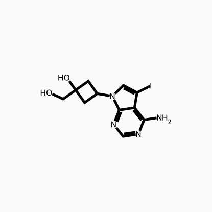 Nc1ncnc2c1c(I)cn2C1CC(O)(CO)C1